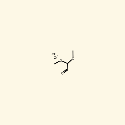 COC(C=O)OC.[PbH2].[Zr]